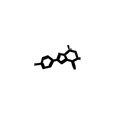 C[C@@H]1CNC(=O)c2cc(-c3ccc(F)cc3)nn21